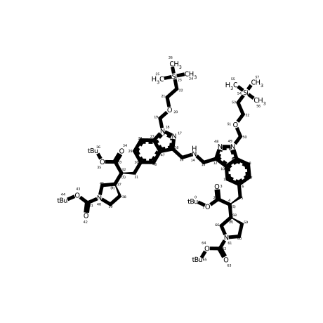 CC(C)(C)OC(=O)[C@@H](Cc1ccc2c(c1)c(CNCc1nn(COCC[Si](C)(C)C)c3ccc(C[C@H](C(=O)OC(C)(C)C)[C@H]4CCN(C(=O)OC(C)(C)C)C4)cc13)nn2COCC[Si](C)(C)C)[C@H]1CCN(C(=O)OC(C)(C)C)C1